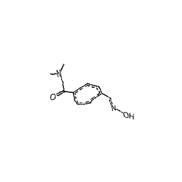 CN(C)C(=O)c1ccc(/C=N/O)cc1